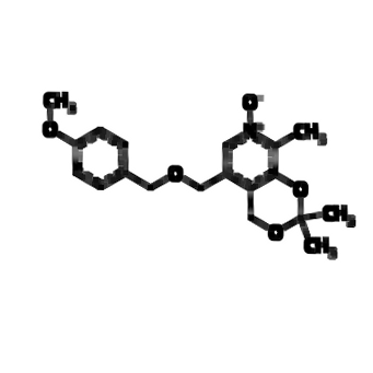 COc1ccc(COCc2c[n+]([O-])c(C)c3c2COC(C)(C)O3)cc1